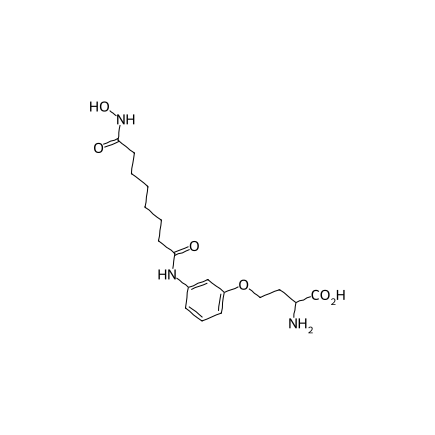 NC(CCOc1cccc(NC(=O)CCCCCCC(=O)NO)c1)C(=O)O